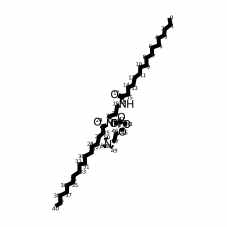 CCCCCCCCCCCCCCCCC(=O)NCC(CNC(=O)CCCCCCCCCCCCCCCC)OP(=O)([O-])OCC[N+](C)(C)C